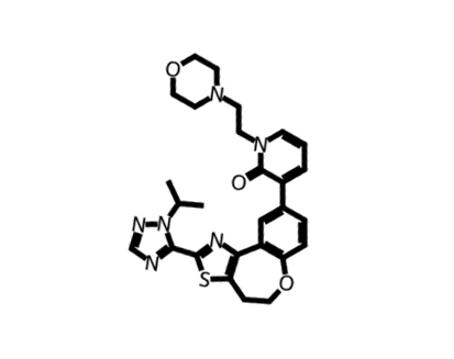 CC(C)n1ncnc1-c1nc2c(s1)CCOc1ccc(-c3cccn(CCN4CCOCC4)c3=O)cc1-2